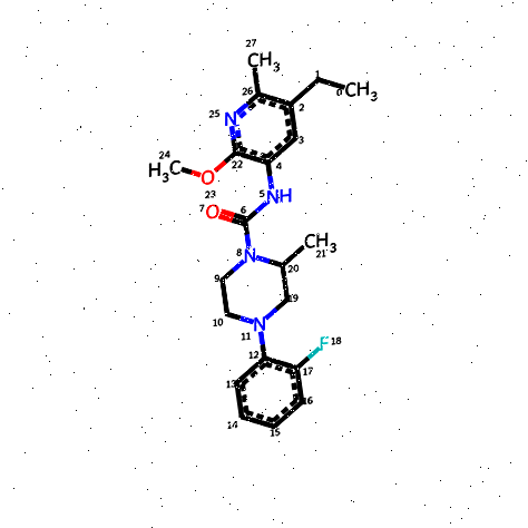 CCc1cc(NC(=O)N2CCN(c3ccccc3F)CC2C)c(OC)nc1C